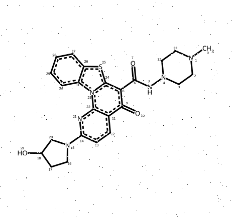 CN1CCN(NC(=O)c2c(=O)c3ccc(N4CCC(O)C4)nc3n3c2sc2ccccc23)CC1